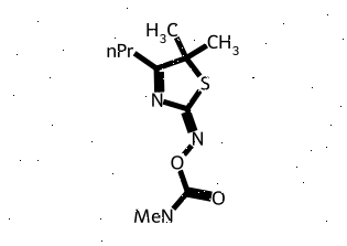 CCCC1=NC(=NOC(=O)NC)SC1(C)C